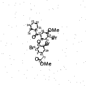 COC(=O)Cc1cc(Br)c(Oc2cc(C(C)C)c(OC)cc2C(=O)c2ccccc2C)c(Br)c1